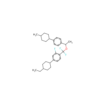 CCC1CCC(c2ccc(C(F)(F)OC(C)c3ccc(C4CCC(C)CC4)cc3)c(F)c2)CC1